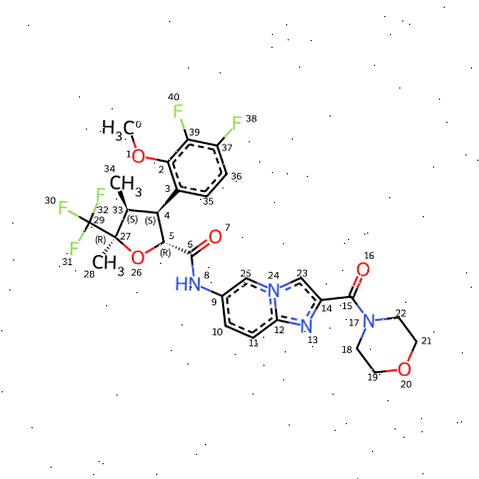 COc1c([C@H]2[C@H](C(=O)Nc3ccc4nc(C(=O)N5CCOCC5)cn4c3)O[C@@](C)(C(F)(F)F)[C@H]2C)ccc(F)c1F